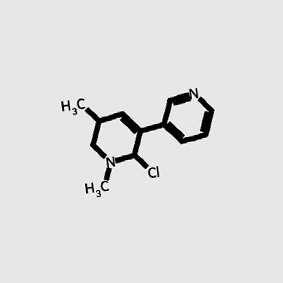 CC1C=C(c2cccnc2)C(Cl)N(C)C1